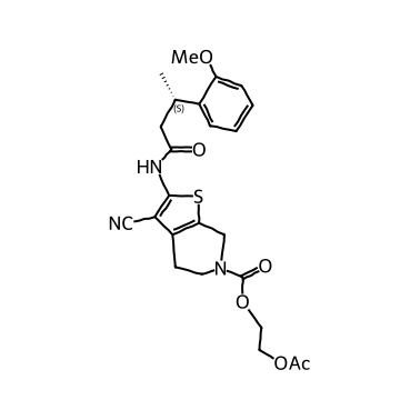 COc1ccccc1[C@@H](C)CC(=O)Nc1sc2c(c1C#N)CCN(C(=O)OCCOC(C)=O)C2